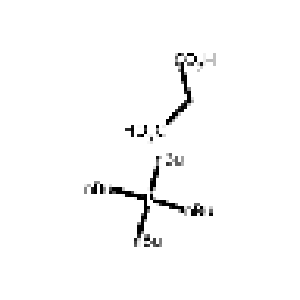 CCCC[P](CCCC)(CCCC)CCCC.O=C(O)CC(=O)O